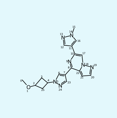 COC1CC(n2cc(-c3nc(-c4cnn(C)c4)cn4nccc34)cn2)C1